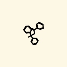 C=C(CC(C)(c1ccccc1)c1ccccc1)c1ccccc1